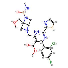 CN[S+]([O-])N1CC2N(CC3=C(C(=O)OC)[C@H](c4ccc(F)cc4Cl)N=C(c4nccs4)N3)C3COCC321